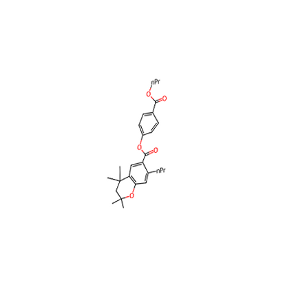 CCCOC(=O)c1ccc(OC(=O)c2cc3c(cc2CCC)OC(C)(C)CC3(C)C)cc1